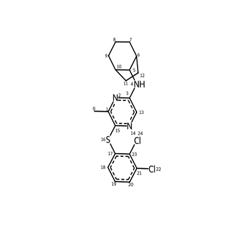 Cc1nc(NC2C3CCCC2CC3)cnc1Sc1cccc(Cl)c1Cl